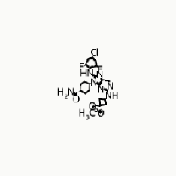 CS(=O)(=O)C1CC(Nc2ncc3nc(Nc4c(F)cc(Cl)cc4F)n([C@H]4CC[C@@H](C(N)=O)CC4)c3n2)C1